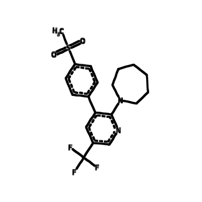 CS(=O)(=O)c1ccc(-c2cc(C(F)(F)F)cnc2N2CCCCCC2)cc1